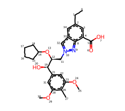 CCc1cc(C(=O)O)c2nn(C[C@H](OC3CCCC3)[C@H](O)c3cc(OC)c(C)c(OC)c3)cc2c1